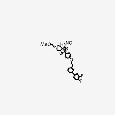 COCCN1CCC(C(=O)NN=O)(S(=O)(=O)c2ccc(OCCc3cccc(-c4ccc(F)c(F)c4)c3)cc2)CC1